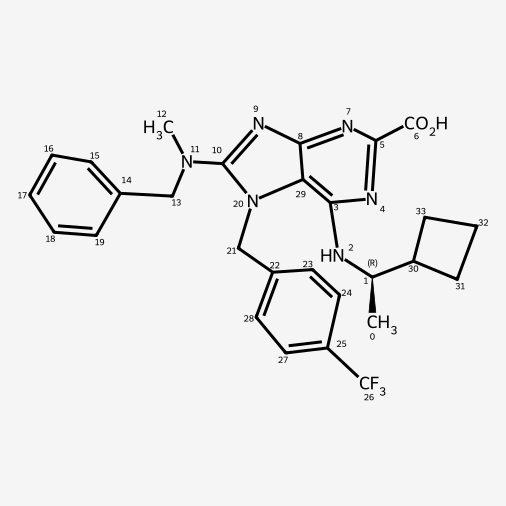 C[C@@H](Nc1nc(C(=O)O)nc2nc(N(C)Cc3ccccc3)n(Cc3ccc(C(F)(F)F)cc3)c12)C1CCC1